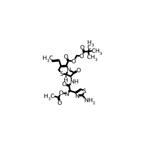 C/C=C/C1=C(C(=O)OCOC(=O)C(C)(C)C)N2C(=O)[C@@H](NC(=O)/C(=N\OC(C)=O)c3csc(N)n3)[C@@H]2SC1